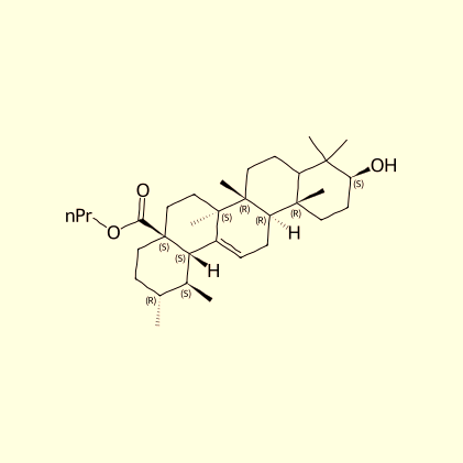 CCCOC(=O)[C@]12CC[C@@H](C)[C@H](C)[C@H]1C1=CC[C@@H]3[C@@]4(C)CC[C@H](O)C(C)(C)C4CC[C@@]3(C)[C@]1(C)CC2